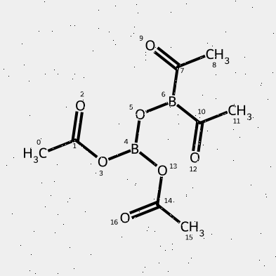 CC(=O)OB(OB(C(C)=O)C(C)=O)OC(C)=O